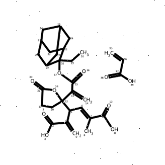 C=C(C(=O)O)C(C=C(C)C(=O)O)C1(C(=C)C(=O)OC2(CC)C3CC4CC(C3)CC2C4)CCC(=O)O1.C=CC(=O)O